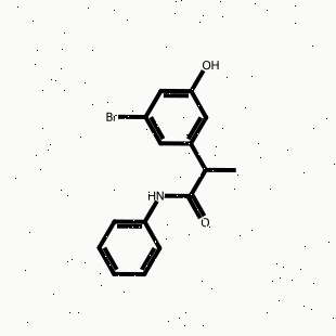 CC(C(=O)Nc1ccccc1)c1cc(O)cc(Br)c1